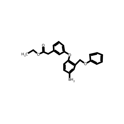 Bc1ccc(Oc2cccc(CC(=O)OCC)c2)c(COc2ccccc2)c1